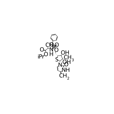 C=C1C=CN([C@@H]2S[C@H](COP(=O)(NC(C)C(=O)OC(C)C)Oc3ccccc3)[C@@H](O)[C@@]2(C)O)C(=O)N1